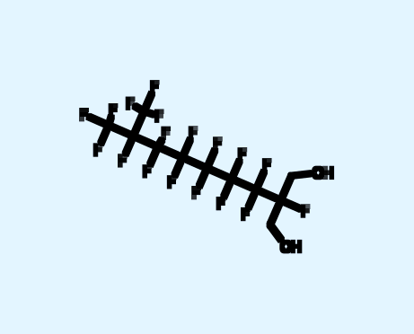 OCC(F)(CO)C(F)(F)C(F)(F)C(F)(F)C(F)(F)C(F)(F)C(F)(C(F)(F)F)C(F)(F)F